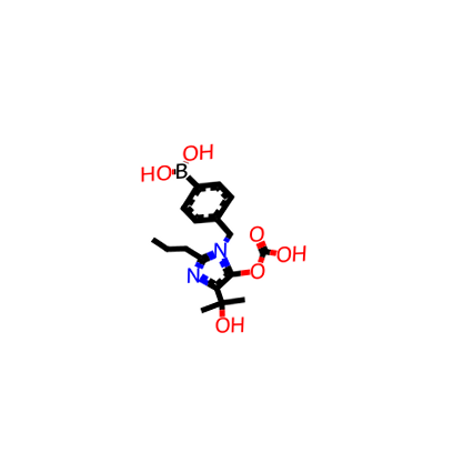 CCCc1nc(C(C)(C)O)c(OC(=O)O)n1Cc1ccc(B(O)O)cc1